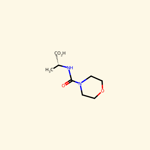 C[C@@H](NC(=O)N1CCOCC1)C(=O)O